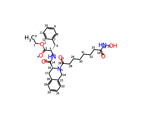 CCOC(=O)[C@H](Cc1ccccc1)NC(=O)[C@@H]1Cc2ccccc2CN1C(=O)CCCCCCC(=O)NO